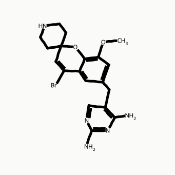 COc1cc(Cc2cnc(N)nc2N)cc2c1OC1(C=C2Br)CCNCC1